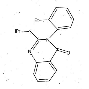 CCc1ccccc1-n1c(SC(C)C)nc2ccccc2c1=O